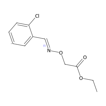 CCOC(=O)CO/N=C/c1c[c]ccc1Cl